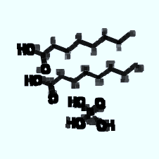 CCCCCCCC(=O)O.CCCCCCCC(=O)O.O=P(O)(O)O